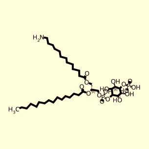 CCCCCCCCCCCCCCCC(=O)O[C@H](COC(=O)CCCCCCCCCCCCN)COP(=O)(O)OC1C(O)[C@@H](O)C(OP(=O)(O)O)[C@@H](O)[C@H]1O